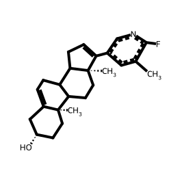 Cc1cc(C2=CCC3C4CC=C5C[C@@H](O)CC[C@]5(C)C4CC[C@]23C)cnc1F